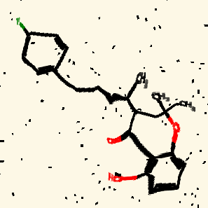 CC(CCCc1ccc(F)cc1)C1C(=O)c2c(O)cccc2OC1(C)C